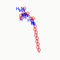 C=NOCC(=O)N[C@H](C(=O)N[C@@H](CCCNC(N)=O)C(=O)Nc1ccc(COC(=O)NCc2cn(CCOCCOCCOCCOCCOCCOCCOCCOCCOCCC)nn2)cc1)C(C)C